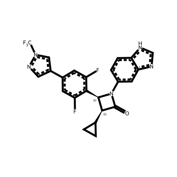 O=C1[C@@H](C2CC2)[C@@H](c2c(F)cc(-c3cnn(C(F)(F)F)c3)cc2F)N1c1ccc2[nH]cnc2c1